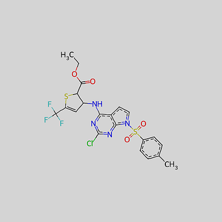 CCOC(=O)C1SC(C(F)(F)F)=CC1Nc1nc(Cl)nc2c1ccn2S(=O)(=O)c1ccc(C)cc1